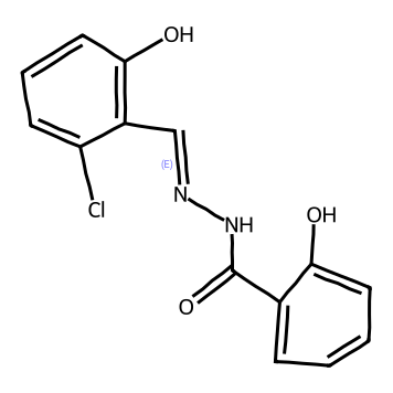 O=C(N/N=C/c1c(O)cccc1Cl)c1ccccc1O